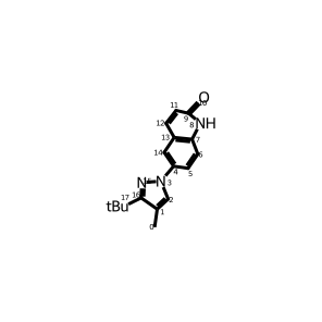 Cc1cn(-c2ccc3[nH]c(=O)ccc3c2)nc1C(C)(C)C